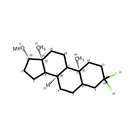 CO[C@H]1CCC2[C@@H]3CCC4CC(F)(F)CC[C@]4(C)C3CC[C@@]21C